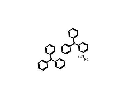 Cl.[Pd].c1ccc(P(c2ccccc2)c2ccccc2)cc1.c1ccc(P(c2ccccc2)c2ccccc2)cc1